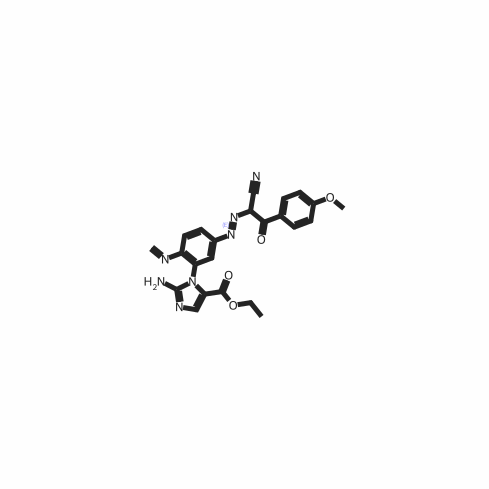 C=Nc1ccc(/N=N/C(C#N)C(=O)c2ccc(OC)cc2)cc1-n1c(C(=O)OCC)cnc1N